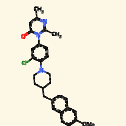 COc1ccc2cc(CC3CCN(c4ccc(-n5c(C)nc(C)cc5=O)cc4Cl)CC3)ccc2c1